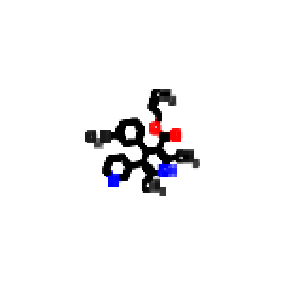 C=CCOC(=O)C1=C(C)NC(C)=C(c2cccnc2)C1c1cccc([N+](=O)[O-])c1